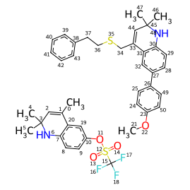 CC1=CC(C)(C)Nc2ccc(OS(=O)(=O)C(F)(F)F)cc21.COc1ccc(-c2ccc3c(c2)C(CSCCc2ccccc2)=CC(C)(C)N3)cc1